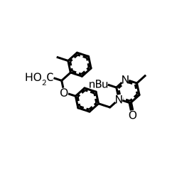 CCCCc1nc(C)cc(=O)n1Cc1ccc(OC(C(=O)O)c2ccccc2C)cc1